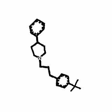 CC(C)(C)c1ccc(CCCN2CCC(c3ccccc3)CC2)cc1